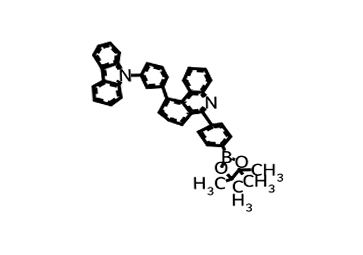 CC1(C)OB(c2ccc(-c3nc4ccccc4c4c(-c5cccc(-n6c7ccccc7c7ccccc76)c5)cccc34)cc2)OC1(C)C